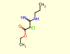 CCCNC(=N)CC(=O)OCC.Cl